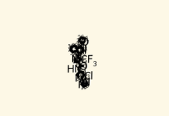 O=C(Nc1cnc(-n2nccn2)c(Cl)c1)c1cnn(-c2cnc([C@H]3CCCO3)c3ccccc23)c1C(F)(F)F